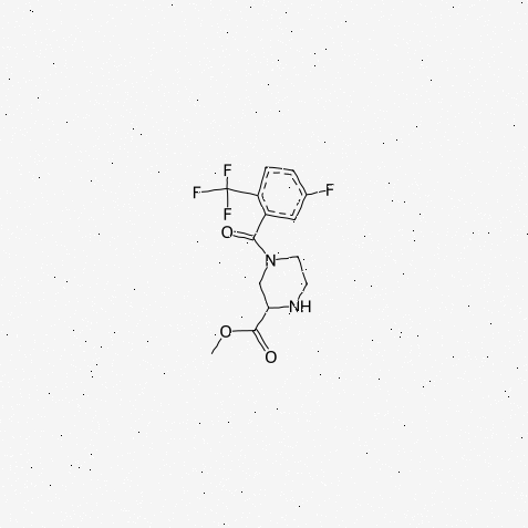 COC(=O)C1CN(C(=O)c2cc(F)ccc2C(F)(F)F)CCN1